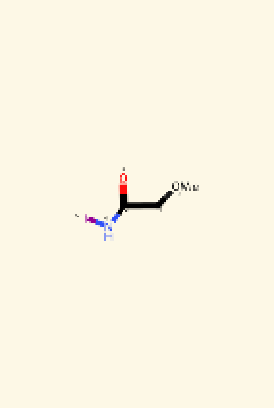 COCC(=O)NI